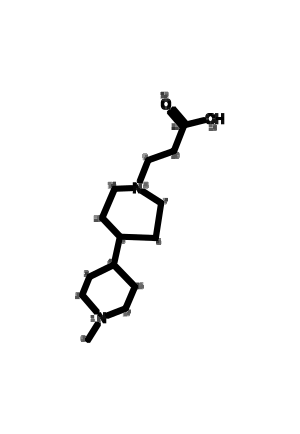 CN1CCC(C2CCN(CCC(=O)O)CC2)CC1